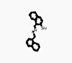 Sc1ccc2ccccc2c1C=NN=Cc1cccc2ccccc12